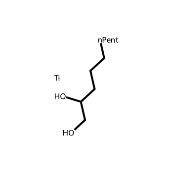 CCCCCCCCC(O)CO.[Ti]